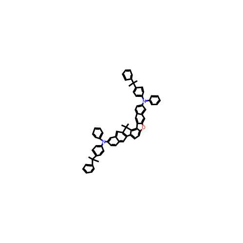 CC(C)(c1ccccc1)c1ccc(N(c2ccccc2)c2ccc3cc4c(cc3c2)C(C)(C)c2c-4ccc3oc4cc5cc(N(c6ccccc6)c6ccc(C(C)(C)c7ccccc7)cc6)ccc5cc4c23)cc1